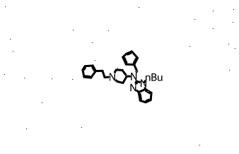 CCCCn1c(N(Cc2ccccc2)C2CCN(CCc3ccccc3)CC2)nc2ccccc21